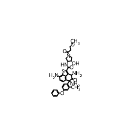 COCCC(=O)N1C[C@H](NC(=O)c2sc3c(N)ccc4c3c2C(N)C(=O)C4(N)c2ccc(Oc3ccccc3)cc2C)[C@@H](O)C1